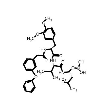 COc1ccc(C[C@H](NC(=O)Cc2cccc(Oc3ccccc3)c2)C(=O)N[C@H](C(=O)N[C@@H](CC(C)C)OB(O)O)C(C)C)cc1OC